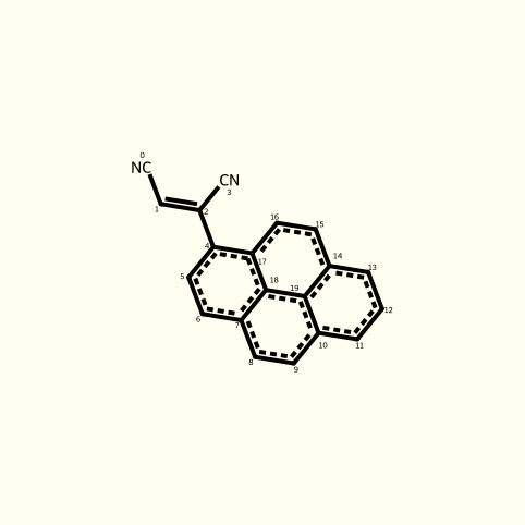 N#C/C=C(\C#N)c1ccc2ccc3cccc4ccc1c2c34